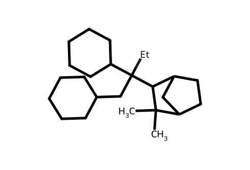 CCC(CC1CCCCC1)(C1CCCCC1)C1C2CCC(C2)C1(C)C